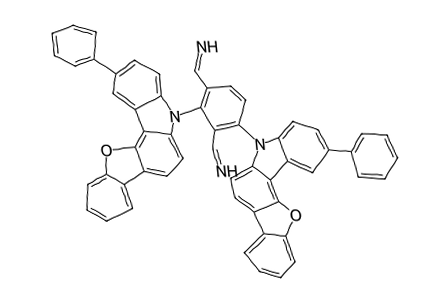 N=Cc1ccc(-n2c3ccc(-c4ccccc4)cc3c3c4oc5ccccc5c4ccc32)c(C=N)c1-n1c2ccc(-c3ccccc3)cc2c2c3oc4ccccc4c3ccc21